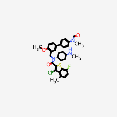 CN[C@H]1CC[C@H](N(Cc2cc(-c3ccc(N(C)C=O)cc3)ccc2OC)C(=O)c2sc3c(F)ccc(C)c3c2Cl)CC1